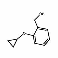 OCc1ccccc1OC1CC1